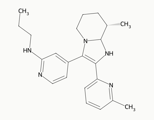 CCCNc1cc(C2=C(c3cccc(C)n3)NC3[C@@H](C)CCCN23)ccn1